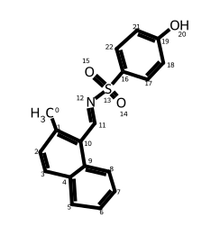 Cc1ccc2ccccc2c1/C=N/S(=O)(=O)c1ccc(O)cc1